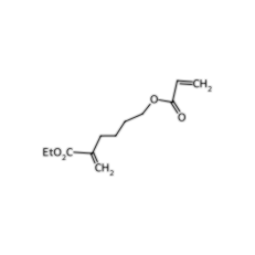 C=CC(=O)OCCCCC(=C)C(=O)OCC